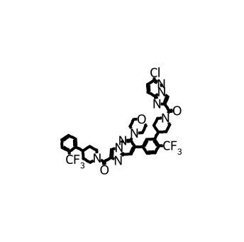 O=C(c1cn2nc(Cl)ccc2n1)N1CCC(c2cc(-c3cc4nc(C(=O)N5CCC(c6ccccc6C(F)(F)F)CC5)cn4nc3N3CCOCC3)ccc2C(F)(F)F)CC1